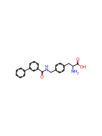 NC(Cc1ccc(CNC(=O)c2cccc(-c3ccccc3)c2)cc1)C(=O)O